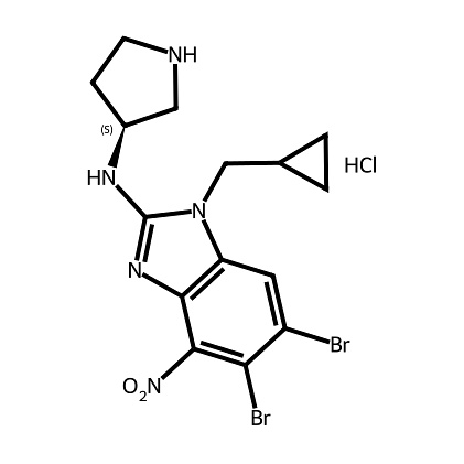 Cl.O=[N+]([O-])c1c(Br)c(Br)cc2c1nc(N[C@H]1CCNC1)n2CC1CC1